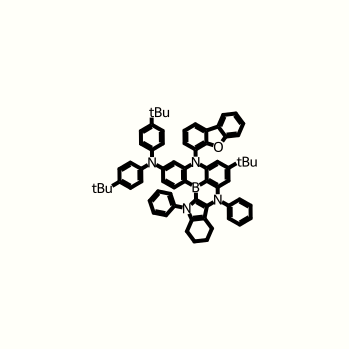 CC(C)(C)c1ccc(N(c2ccc(C(C)(C)C)cc2)c2ccc3c(c2)N(c2cccc4c2oc2ccccc24)c2cc(C(C)(C)C)cc4c2B3c2c(c3c(n2-c2ccccc2)CCCC3)N4c2ccccc2)cc1